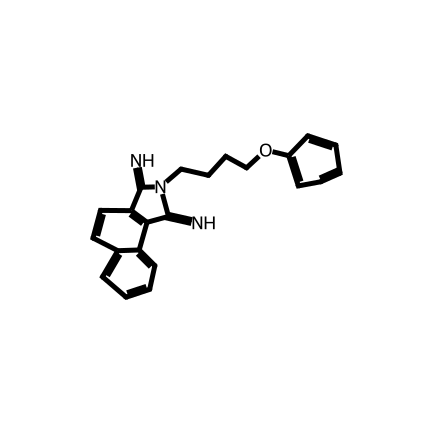 N=C1c2ccc3ccccc3c2C(=N)N1CCCCOc1ccccc1